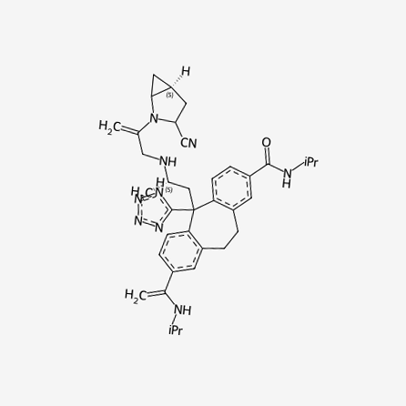 C=C(NC(C)C)c1ccc2c(c1)CCc1cc(C(=O)NC(C)C)ccc1C2(C[C@H](C)NCC(=C)N1C(C#N)C[C@@H]2CC21)c1nnn[nH]1